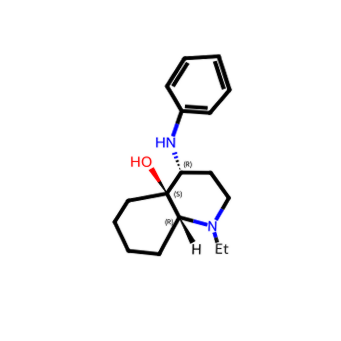 CCN1CC[C@@H](Nc2ccccc2)[C@@]2(O)CCCC[C@@H]12